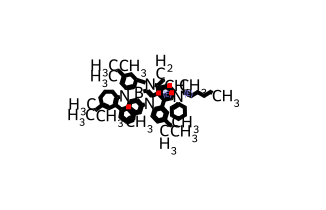 C=CC1C(/C=C(\C)N(C2=CCCCC2)/C(C)=C/CCCC)C2=C3B4C5=C(C=C(C(C)(C)C)CC5N31)N(C1=C(c3cc#ccc3)C=C(C(C)(C)C)CCC1)c1cc(C)cc(c14)N2c1ccc(C(C)(C)C)cc1-c1ccccc1